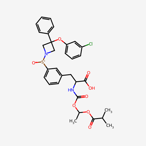 CC(OC(=O)NC(Cc1cccc([S+]([O-])N2CC(Oc3cccc(Cl)c3)(c3ccccc3)C2)c1)C(=O)O)OC(=O)C(C)C